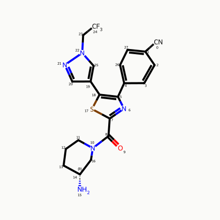 N#Cc1ccc(-c2nc(C(=O)N3CCC[C@@H](N)C3)sc2-c2cnn(CC(F)(F)F)c2)cc1